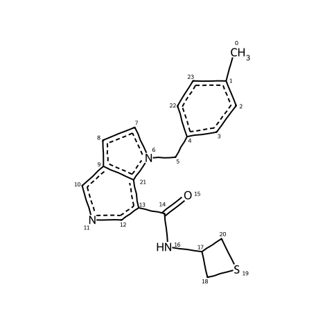 Cc1ccc(Cn2ccc3cncc(C(=O)NC4CSC4)c32)cc1